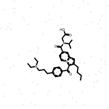 CCCCc1cc2cc(C(=O)N(CC(=O)O)C(C)C)ccn2c1C(=O)c1ccc(CCCN(CC)CC)cc1